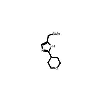 CNCc1cnc(C2CCOCC2)[nH]1